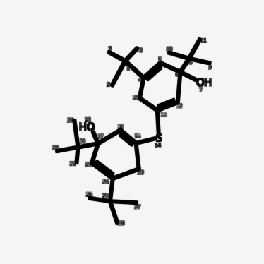 CC(C)(C)C1=CC(O)(C(C)(C)C)C=C(SC2=CC(O)(C(C)(C)C)C=C(C(C)(C)C)C2)C1